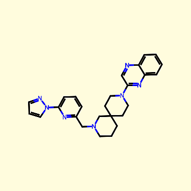 c1cc(CN2CCCC3(CCN(c4cnc5ccccc5n4)CC3)C2)nc(-n2cccn2)c1